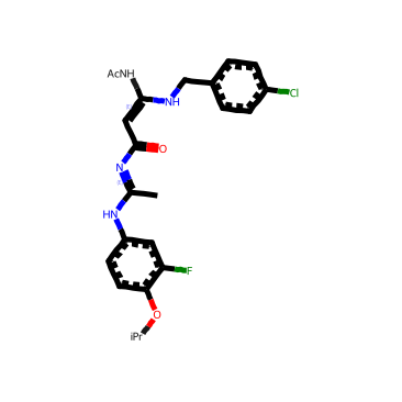 CC(=O)N/C(=C/C(=O)/N=C(\C)Nc1ccc(OC(C)C)c(F)c1)NCc1ccc(Cl)cc1